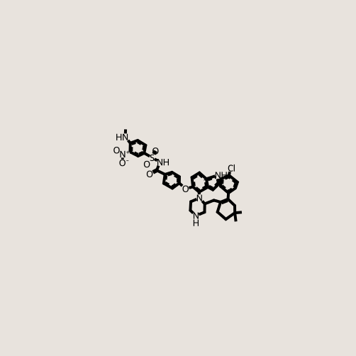 CNc1ccc(S(=O)(=O)NC(=O)c2ccc(Oc3ccc4[nH]ccc4c3N3CCNCC3CC3=C(c4ccc(Cl)cc4)CC(C)(C)CC3)cc2)cc1[N+](=O)[O-]